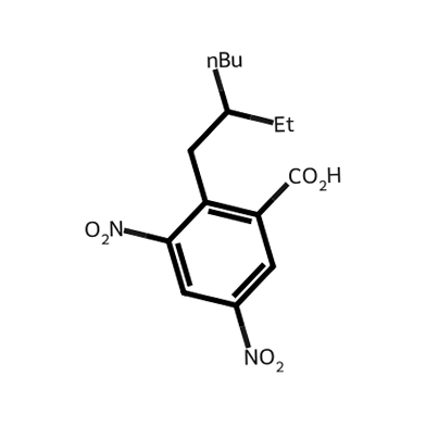 CCCCC(CC)Cc1c(C(=O)O)cc([N+](=O)[O-])cc1[N+](=O)[O-]